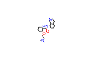 CN(C)CCOc1ccccc1C(=O)Nc1cccc2ccncc12